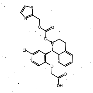 O=C(O)COc1ccc(Cl)cc1[C@@H]1c2ccccc2CCN1OC(=O)OCc1nccs1